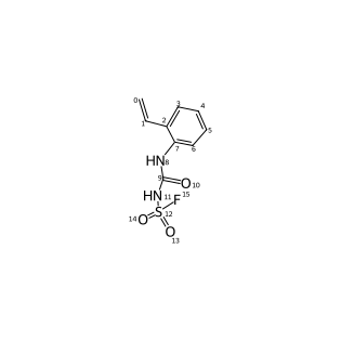 C=Cc1ccccc1NC(=O)NS(=O)(=O)F